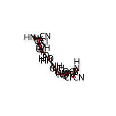 N#Cc1cc(Cl)cc2c1C[C@H](N1CCNCC1)[C@H]2Oc1ccc(S(=O)(=O)NC(=O)[C@H]2CCN(CCOCCNC(=O)NCCCCNC(=O)NCCOCCN3CC[C@H](C(=O)NS(=O)(=O)c4ccc(O[C@H]5c6cc(Cl)cc(C#N)c6C[C@@H]5N5CCNCC5)cc4)C3)C2)cc1